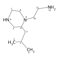 CC(C)CC1CNCCN1CCN